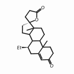 CC[C@@H]1CC2=CC(=O)CCC2(C)C2CCC3(C)C(CC[C@@]34CCC(=O)O4)C21